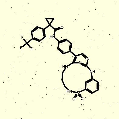 O=C(Nc1ccc(-c2cnc3nc2NCCCNS(=O)(=O)c2cccc(c2)N3)cc1)C1(c2ccc(C(F)(F)F)cc2)CC1